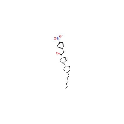 CCCCCCC1CCC(c2ccc(C(=O)Cc3ccc([N+](=O)[O-])cc3)cc2)CC1